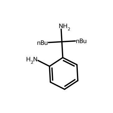 CCCCC(N)(CCCC)c1ccccc1N